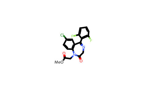 COC(=O)CN1C(=O)CN=C(c2c(F)cccc2F)c2cc(Cl)ccc21